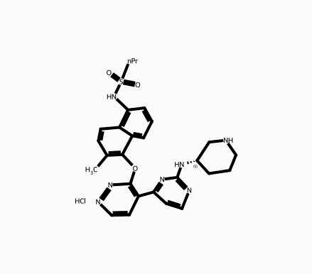 CCCS(=O)(=O)Nc1cccc2c(Oc3nnccc3-c3ccnc(N[C@H]4CCCNC4)n3)c(C)ccc12.Cl